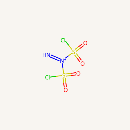 N=[N+](S(=O)(=O)Cl)S(=O)(=O)Cl